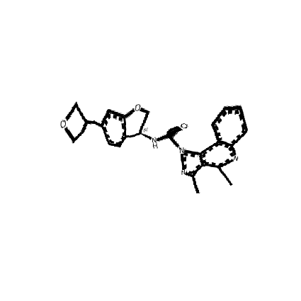 Cc1nc2ccccc2c2c1c(C)nn2C(=O)N[C@@H]1COc2cc(C3COC3)ccc21